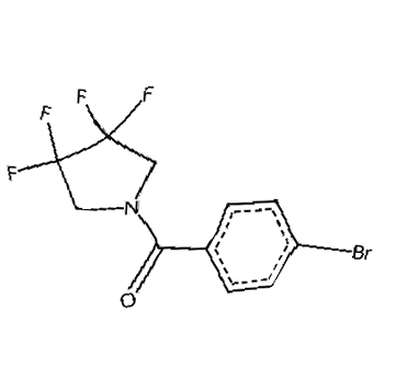 O=C(c1ccc(Br)cc1)N1CC(F)(F)C(F)(F)C1